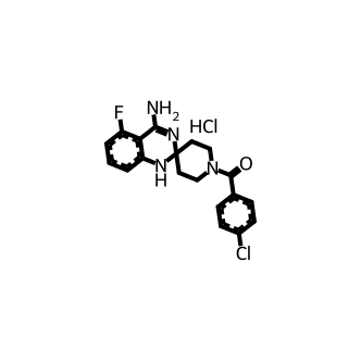 Cl.NC1=NC2(CCN(C(=O)c3ccc(Cl)cc3)CC2)Nc2cccc(F)c21